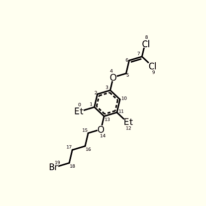 CCc1cc(OCC=C(Cl)Cl)cc(CC)c1OCCCCBr